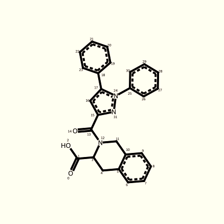 O=C(O)C1Cc2ccccc2CN1C(=O)c1cc(-c2ccccc2)n(-c2ccccc2)n1